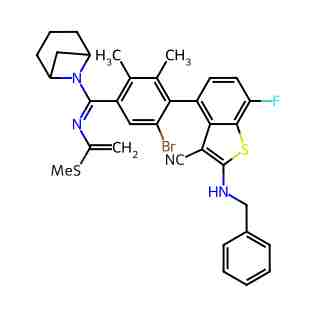 C=C(/N=C(\c1cc(Br)c(-c2ccc(F)c3sc(NCc4ccccc4)c(C#N)c23)c(C)c1C)N1C2CCCC1C2)SC